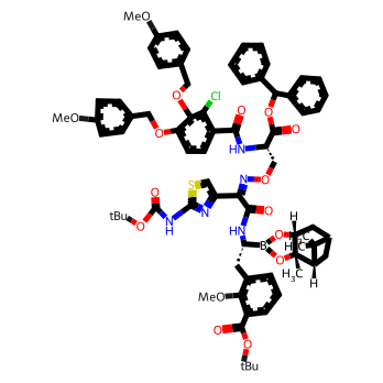 COc1ccc(COc2ccc(C(=O)N[C@@H](CO/N=C(\C(=O)N[C@@H](Cc3cccc(C(=O)OC(C)(C)C)c3OC)B3O[C@@H]4CC5C[C@@H](C5(C)C)[C@]4(C)O3)c3csc(NC(=O)OC(C)(C)C)n3)C(=O)OC(c3ccccc3)c3ccccc3)c(Cl)c2OCc2ccc(OC)cc2)cc1